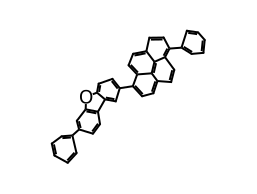 c1ccc(-c2ccc3c(c2)oc2ccc(-c4ccc5ccc6c(-c7ccccc7)ccc7ccc4c5c76)cc23)cc1